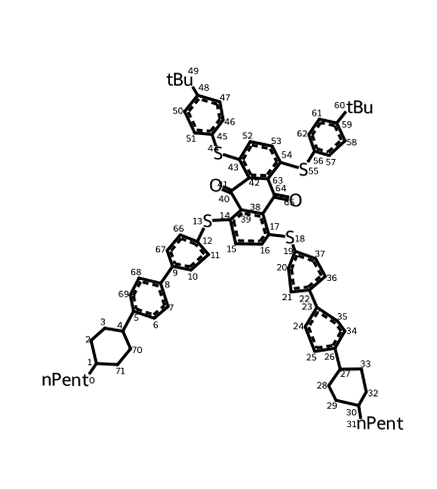 CCCCCC1CCC(c2ccc(-c3ccc(Sc4ccc(Sc5ccc(-c6ccc(C7CCC(CCCCC)CC7)cc6)cc5)c5c4C(=O)c4c(Sc6ccc(C(C)(C)C)cc6)ccc(Sc6ccc(C(C)(C)C)cc6)c4C5=O)cc3)cc2)CC1